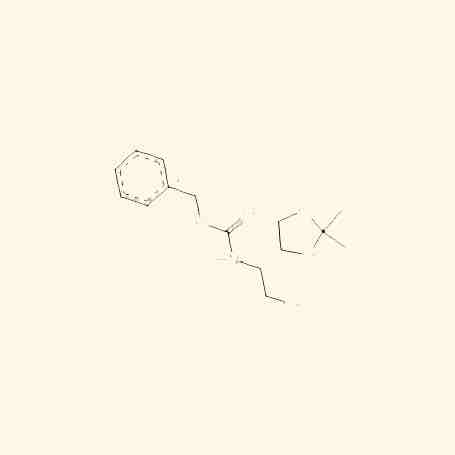 CC1(C)OC[C@@H](C(CO)NC(=O)OCc2ccccc2)O1